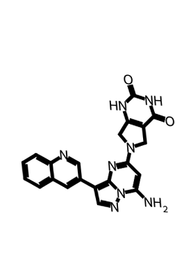 Nc1cc(N2Cc3[nH]c(=O)[nH]c(=O)c3C2)nc2c(-c3cnc4ccccc4c3)cnn12